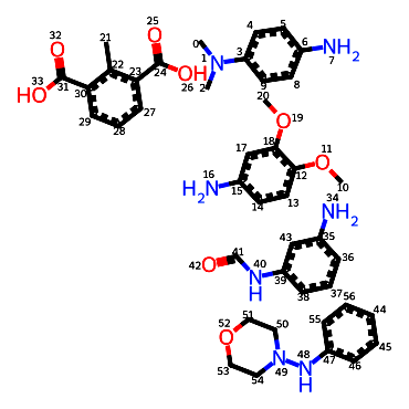 CN(C)c1ccc(N)cc1.COc1ccc(N)cc1OC.Cc1c(C(=O)O)cccc1C(=O)O.Nc1cccc(NC=O)c1.c1ccc(NN2CCOCC2)cc1